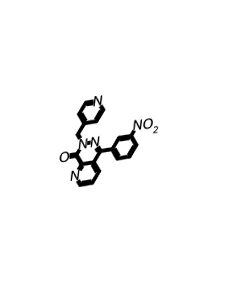 O=c1c2ncccc2c(-c2cccc([N+](=O)[O-])c2)nn1Cc1ccncc1